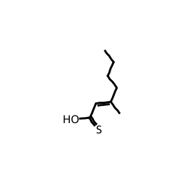 CCCCC(C)=CC(O)=S